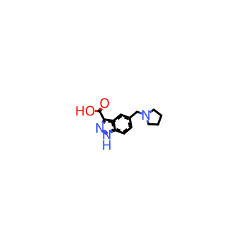 O=C(O)c1n[nH]c2ccc(CN3CCCC3)cc12